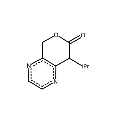 CC(C)C1C(=O)OCc2nccnc21